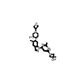 Cc1nc(N2CC(C)(O)C2)cc(-n2ncc3cc(C)c([C@H]4CCN(C5COC5)C[C@H]4F)cc32)n1